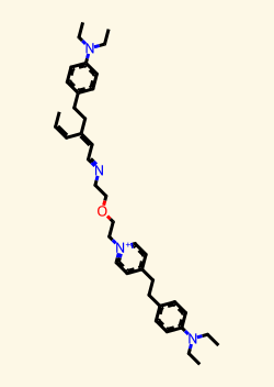 C\C=C/C(=C\C=N\CCOCC[n+]1ccc(CCc2ccc(N(CC)CC)cc2)cc1)CCc1ccc(N(CC)CC)cc1